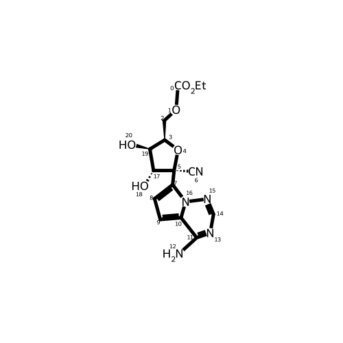 CCOC(=O)OC[C@H]1O[C@@](C#N)(c2ccc3c(N)ncnn23)[C@H](O)[C@H]1O